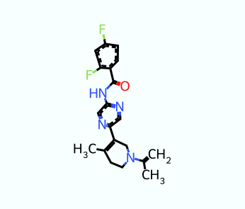 C=C(C)N1CCC(C)=C(c2cnc(NC(=O)c3ccc(F)cc3F)cn2)C1